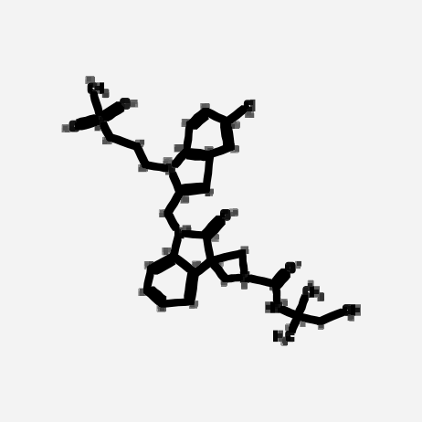 CC(C)(CO)NC(=O)N1CC2(C1)C(=O)N(Cc1cc3cc(Cl)ccc3n1CCCS(C)(=O)=O)c1ccccc12